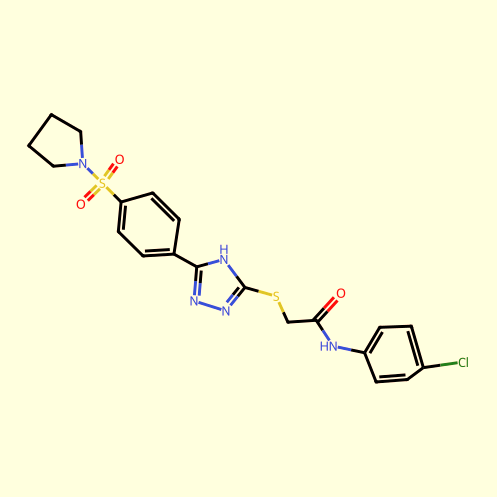 O=C(CSc1nnc(-c2ccc(S(=O)(=O)N3CCCC3)cc2)[nH]1)Nc1ccc(Cl)cc1